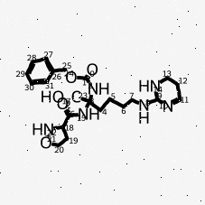 O=C(NC(CCCCNC1N=CCCN1)(NC(=O)C1CCON1)C(=O)O)OCc1ccccc1